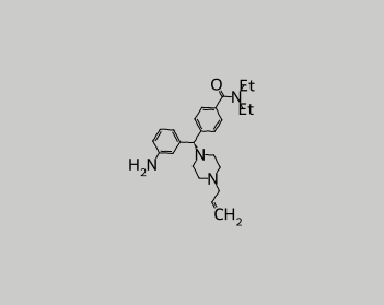 C=CCN1CCN([C@H](c2ccc(C(=O)N(CC)CC)cc2)c2cccc(N)c2)CC1